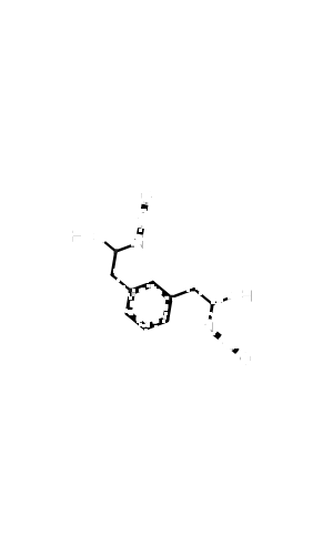 CC(Cc1cccc(CC(C)N=C=O)c1)N=C=O